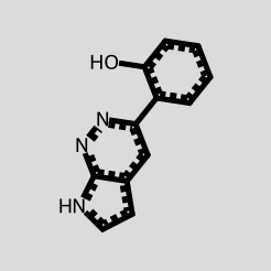 Oc1ccccc1-c1cc2cc[nH]c2nn1